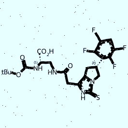 CC(C)(C)OC(=O)N[C@@H](CNC(=O)Cc1[nH]c(=S)n2c1C[C@H](c1c(F)c(F)cc(F)c1F)C2)C(=O)O